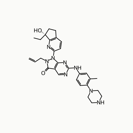 C=CCn1c(=O)c2cnc(Nc3ccc(N4CCNCC4)c(C)c3)nc2n1-c1ccc2c(n1)[C@@](O)(CC)CC2